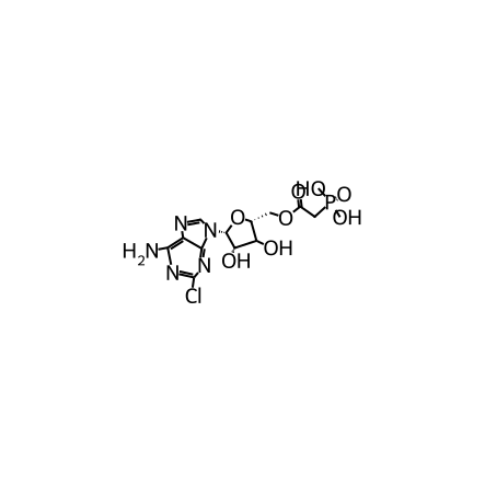 Nc1nc(Cl)nc2c1ncn2[C@@H]1O[C@H](COC(=O)CP(=O)(O)O)C(O)[C@@H]1O